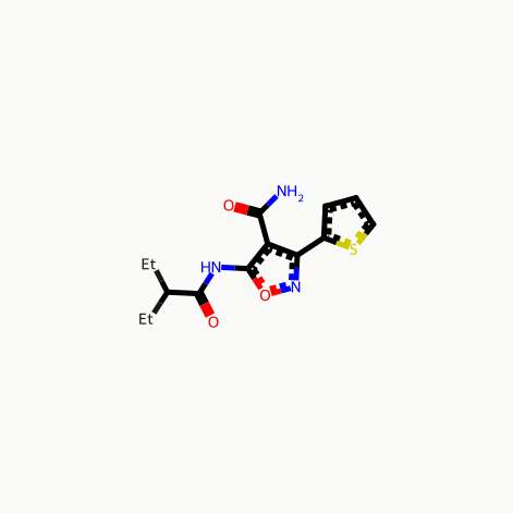 CCC(CC)C(=O)Nc1onc(-c2cccs2)c1C(N)=O